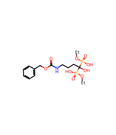 CCOP(=O)(O)C(O)(CCCNC(=O)OCc1ccccc1)P(=O)(O)OCC